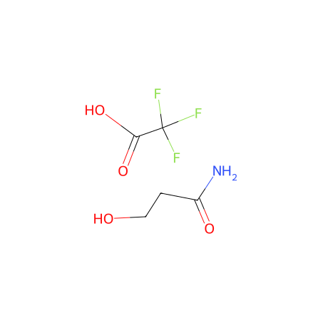 NC(=O)CCO.O=C(O)C(F)(F)F